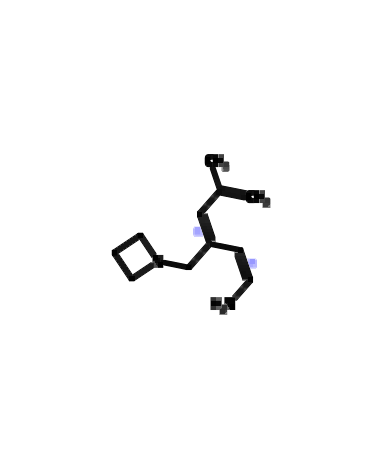 C=C(C)/C=C(\C=C/N)CN1CCC1